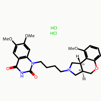 COc1cc2c(=O)[nH]c(=O)n(CCCCN3C[C@@H]4COc5cccc(OC)c5[C@H]4C3)c2cc1OC.Cl.Cl